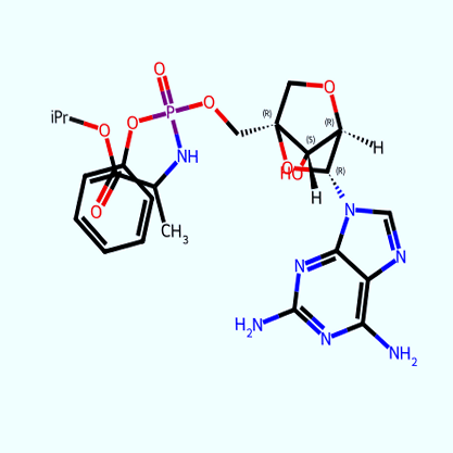 CC(C)OC(=O)C(C)NP(=O)(OC[C@@]12CO[C@@H]([C@H](n3cnc4c(N)nc(N)nc43)O1)[C@@H]2O)Oc1ccccc1